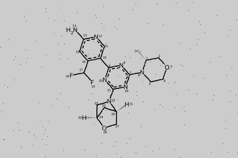 C[C@@H]1COCCN1c1nc(-c2cnc(N)cc2C(F)F)nc(N2C[C@H]3C[C@@H]2CO3)n1